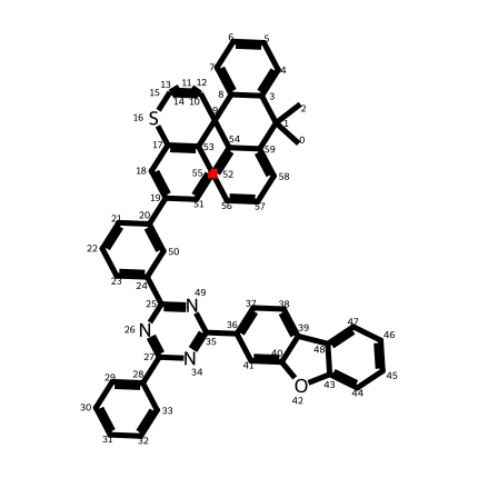 CC1(C)c2ccccc2C2(c3ccccc3Sc3cc(-c4cccc(-c5nc(-c6ccccc6)nc(-c6ccc7c(c6)oc6ccccc67)n5)c4)ccc32)c2ccccc21